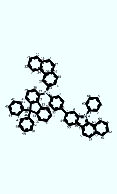 c1ccc(-n2c3cc(-c4ccc(N(c5ccc6ccc7ccccc7c6c5)c5cccc6c5-c5ccccc5C6(c5ccccc5)c5ccccc5)cc4)ccc3c3ccc4ccccc4c32)cc1